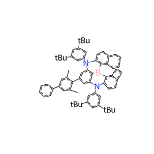 Cc1cc(-c2ccccc2)cc(C)c1-c1cc2c3c(c1)N(c1cc(C(C)(C)C)cc(C(C)(C)C)c1)c1ccc4ccccc4c1B3c1c(ccc3ccccc13)N2c1cc(C(C)(C)C)cc(C(C)(C)C)c1